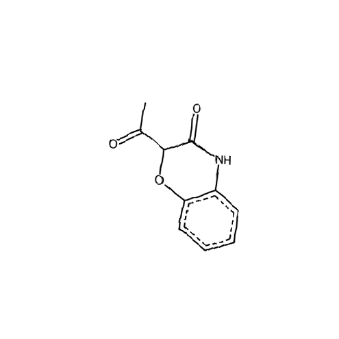 CC(=O)C1Oc2ccccc2NC1=O